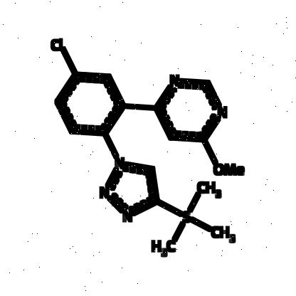 COc1cc(-c2cc(Cl)ccc2-n2cc(S(C)(C)C)nn2)ncn1